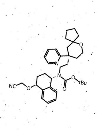 CC(C)(C)OC(=O)N(CC[C@@]1(c2ccccn2)CCOC2(CCCC2)C1)[C@H]1CC[C@H](OCC#N)c2ccccc21